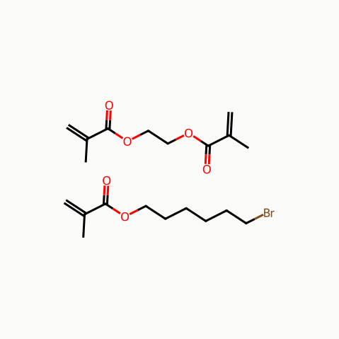 C=C(C)C(=O)OCCCCCCBr.C=C(C)C(=O)OCCOC(=O)C(=C)C